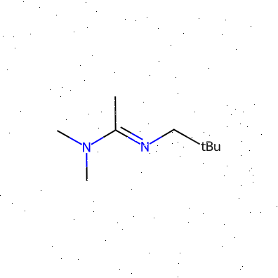 C/C(=N\CC(C)(C)C)N(C)C